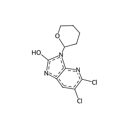 Oc1nc2cc(Cl)c(Cl)nc2n1C1CCCCO1